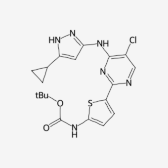 CC(C)(C)OC(=O)Nc1ccc(-c2ncc(Cl)c(Nc3cc(C4CC4)[nH]n3)n2)s1